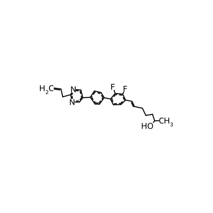 C=CCc1ncc(-c2ccc(-c3ccc(C=CCCCC(C)O)c(F)c3F)cc2)cn1